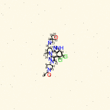 C=CC(=O)N1CCC(n2nc(N3CC[C@@H](CN4CC5(CCOC5)C4)CC3(C)C)c(-c3c(Cl)c(Cl)cc4[nH]ncc34)c2C)CC1